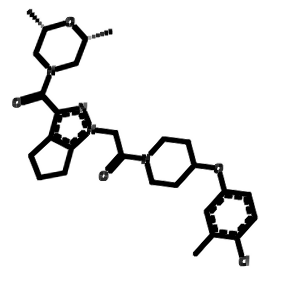 Cc1cc(OC2CCN(C(=O)Cn3nc(C(=O)N4C[C@@H](C)O[C@@H](C)C4)c4c3CCC4)CC2)ccc1Cl